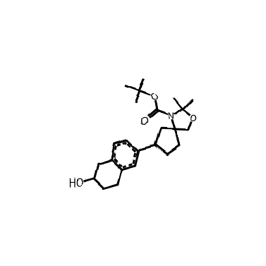 CC(C)(C)OC(=O)N1C2(CCC(c3ccc4c(c3)CCC(O)C4)C2)COC1(C)C